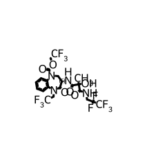 CC(O)(C(=O)NCC(F)(F)C(F)(F)F)C(=O)N[C@H]1CN(C(=O)OCC(F)(F)F)c2ccccc2N(CC(F)(F)F)C1=O